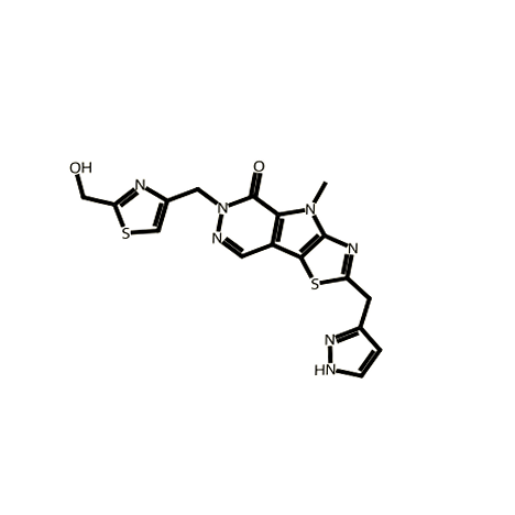 Cn1c2nc(Cc3cc[nH]n3)sc2c2cnn(Cc3csc(CO)n3)c(=O)c21